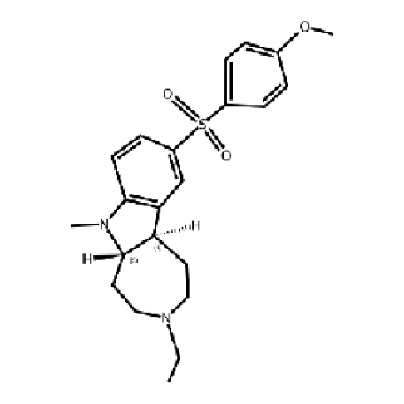 CCN1CC[C@@H]2c3cc(S(=O)(=O)c4ccc(OC)cc4)ccc3N(C)[C@H]2CC1